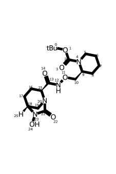 CC(C)(C)OC(=O)N1CCCC[C@H]1CONC(=O)[C@@H]1CC[C@@H]2CN1C(=O)N2O